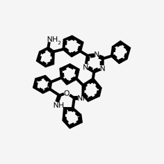 N=C(OC(=N)c1ccccc1-c1cccc(-c2ccccc2-c2nc(-c3ccccc3)nc(-c3cccc(-c4ccccc4N)c3)n2)c1)c1ccccc1